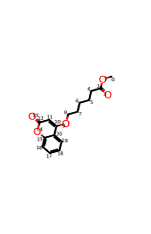 COC(=O)CCCCCOc1cc(=O)oc2ccccc12